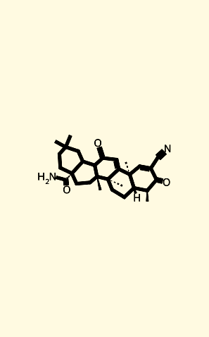 C[C@@H]1C(=O)C(C#N)=C[C@]2(C)C3=CC(=O)C4C5CC(C)(C)CC[C@]5(C(N)=O)CC[C@@]4(C)[C@]3(C)CC[C@@H]12